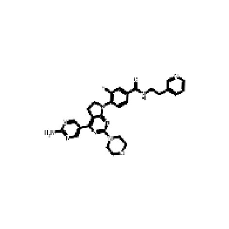 Nc1ncc(-c2nc(N3CCOCC3)nc3c2CCN3c2ccc(C(=O)NCCc3cccnc3)cc2F)cn1